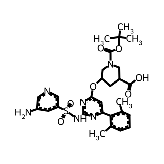 Cc1cccc(C)c1-c1cc(OC2CC(C(=O)O)CN(C(=O)OC(C)(C)C)C2)nc(NS(=O)(=O)c2cncc(N)c2)n1